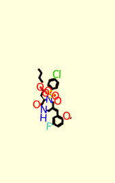 CCCCOC(=O)C[C@@H]1C(=O)NC/C(=C\c2cc(F)ccc2OC)C(=O)N1S(=O)(=O)c1ccc(Cl)cc1